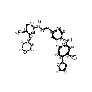 Fc1cnc(N/N=C/c2ccc(Nc3ccc(-c4ccco4)c(Cl)c3)cn2)nc1N1CCOCC1